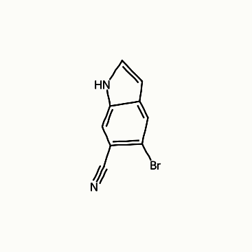 N#Cc1cc2[nH]ccc2cc1Br